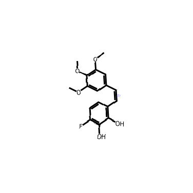 COc1cc(/C=C\c2ccc(F)c(O)c2O)cc(OC)c1OC